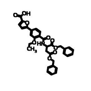 CCOc1cc(-c2ccc(C(=O)O)o2)ccc1C(=O)NC(CC(=O)OCc1ccccc1)C(=O)OCc1ccccc1